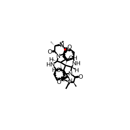 CN1C(=O)[C@]23SS[C@@]1(C)C(=O)N2[C@H]1Nc2ccccc2[C@@]1([C@@]12c4ccccc4N[C@H]1N1C(=O)[C@@]4(C)SS[C@@]1(C(=O)N4C)[C@@H]2O)[C@@H]3O